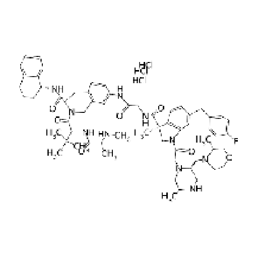 CNC(C)C(=O)NC(C(=O)N1Cc2cc(NC(=O)CNC(=O)[C@]3(C)CN(C(=O)CN4C[C@@H](C)NC[C@@H]4CN4CCOC[C@H]4C)c4cc(Cc5ccc(F)cc5)ccc43)ccc2C[C@H]1C(=O)N[C@@H]1CCCc2ccccc21)C(C)(C)C.Cl.Cl.Cl